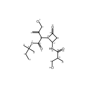 C=C(CCl)C(C(=O)OC(C)(C)CC)N1C(=O)CC1NC(=O)C(C)CCl